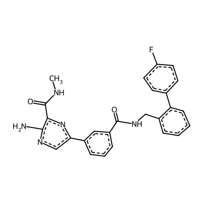 CNC(=O)c1nc(-c2cccc(C(=O)NCc3ccccc3-c3ccc(F)cc3)c2)cnc1N